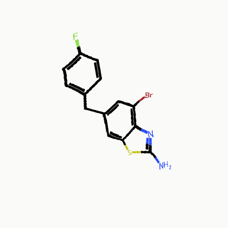 Nc1nc2c(Br)cc(Cc3ccc(F)cc3)cc2s1